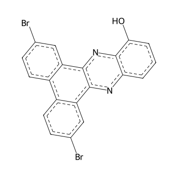 Oc1cccc2nc3c4cc(Br)ccc4c4ccc(Br)cc4c3nc12